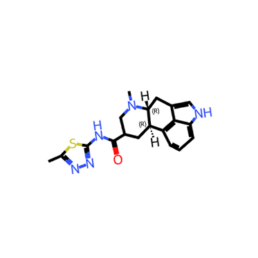 Cc1nnc(NC(=O)C2C[C@@H]3c4cccc5[nH]cc(c45)C[C@H]3N(C)C2)s1